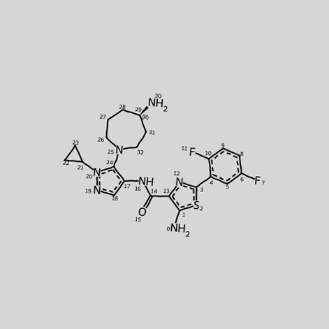 Nc1sc(-c2cc(F)ccc2F)nc1C(=O)Nc1cnn(C2CC2)c1N1CCC[C@@H](N)CC1